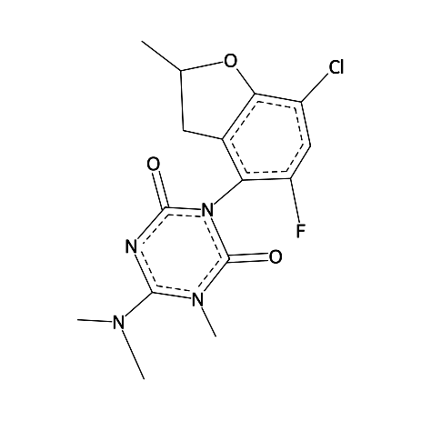 CC1Cc2c(c(Cl)cc(F)c2-n2c(=O)nc(N(C)C)n(C)c2=O)O1